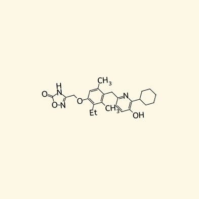 CCc1c(OCc2noc(=O)[nH]2)cc(C)c(Cc2ccc(O)c(C3CCCCC3)n2)c1C